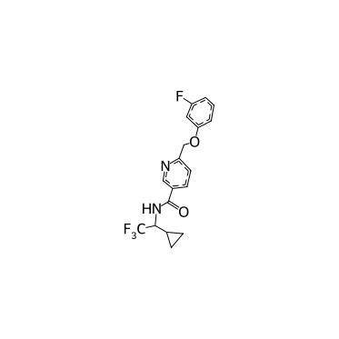 O=C(NC(C1CC1)C(F)(F)F)c1ccc(COc2cccc(F)c2)nc1